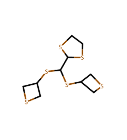 C1CSC(C(SC2CSC2)SC2CSC2)S1